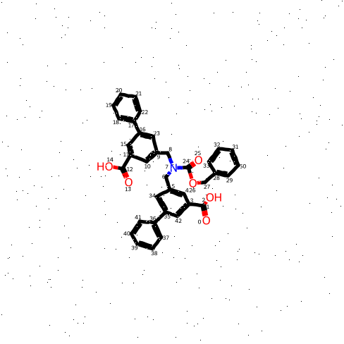 O=C(O)c1cc(CN(Cc2cc(C(=O)O)cc(-c3ccccc3)c2)C(=O)OCc2ccccc2)cc(-c2ccccc2)c1